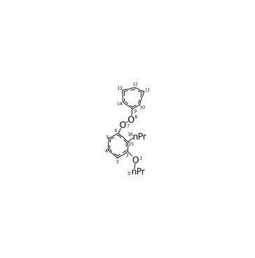 CCCOc1cccc(OOc2ccccc2)c1CCC